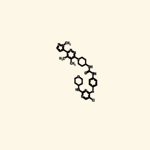 Cc1c(-c2ccnn2C)nnc(N2CCC(NC(=O)Nc3ccc(Sc4nc(NC5CCOCC5)ncc4Cl)cc3)CC2)c1C